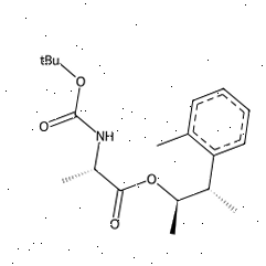 Cc1ccccc1[C@H](C)[C@@H](C)OC(=O)[C@H](C)NC(=O)OC(C)(C)C